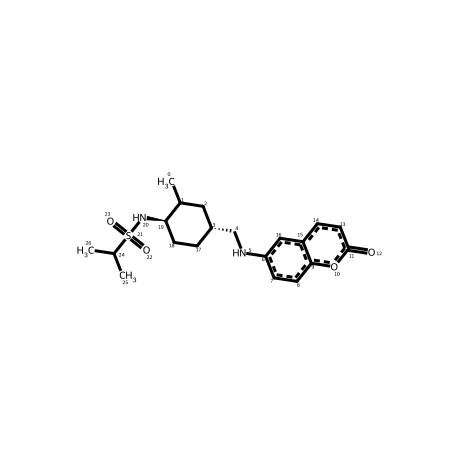 CC1C[C@H](CNc2ccc3oc(=O)ccc3c2)CC[C@H]1NS(=O)(=O)C(C)C